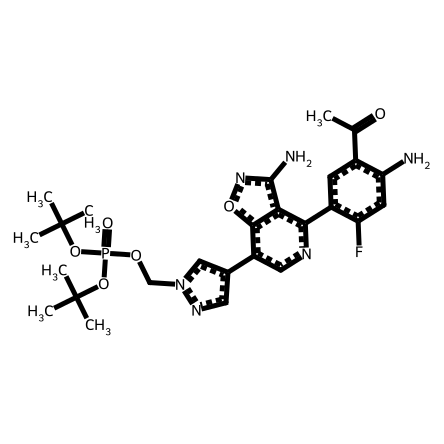 CC(=O)c1cc(-c2ncc(-c3cnn(COP(=O)(OC(C)(C)C)OC(C)(C)C)c3)c3onc(N)c23)c(F)cc1N